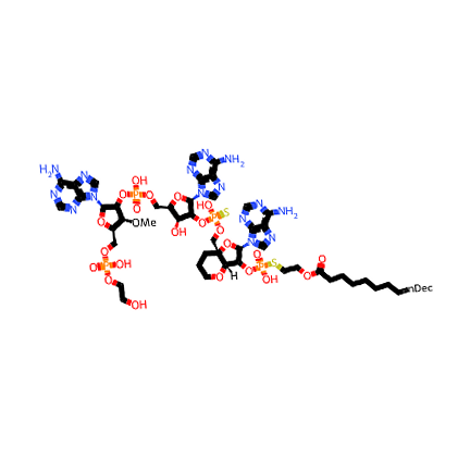 CCCCCCCCCCCCCCCCCC(=O)OCCSP(=O)(O)OC1[C@H](n2cnc3c(N)ncnc32)O[C@@]2(COP(O)(=S)OC3[C@@H](O)[C@@H](COP(=O)(O)OC4[C@@H](OC)[C@@H](COP(=O)(O)OCCO)O[C@H]4n4cnc5c(N)ncnc54)O[C@H]3n3cnc4c(N)ncnc43)CCCO[C@H]12